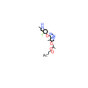 CC(=O)CCC(=O)O[C@H](C)COc1cn2ncnc(Oc3ccc4[nH]c(C)cc4c3F)c2c1C